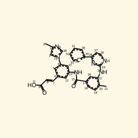 Cc1cn(-c2cc(/C=C/C(=O)O)cc(NC(=O)c3ccc(C)c(Nc4nccc(-c5ccccc5)n4)c3)c2)cn1